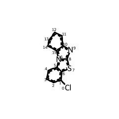 Clc1cccc2c1sc1nc3ccccc3n12